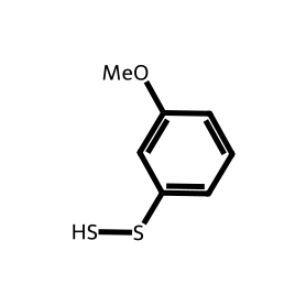 COc1cccc(SS)c1